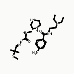 C1CNCCN1.CCN(CC)CCNC(=O)c1ccc(N)cc1.CNC(=O)O/N=C/C(C)(C)SC